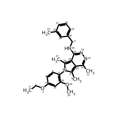 CCOc1ccc(-n2c(C)c3c(C)nnc(NCc4cccc(C)c4)c3c2C)c(OC)c1